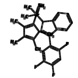 CC1=C(C)C(C)[C]([Zr]([CH3])([CH3])(=[SiH2])[CH]2C=C(c3cc(F)c(F)cc3F)c3ccccc32)=C1C